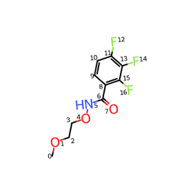 COCCONC(=O)c1ccc(F)c(F)c1F